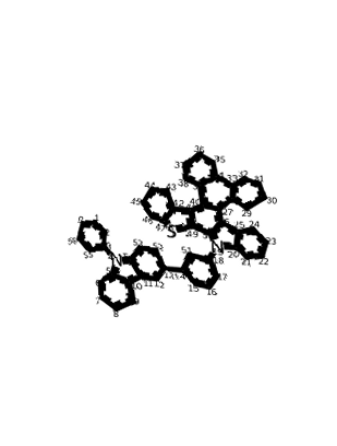 c1ccc(-n2c3ccccc3c3cc(-c4cccc(-n5c6ccccc6c6c7c8ccccc8c8ccccc8c7c7c8ccccc8sc7c65)c4)ccc32)cc1